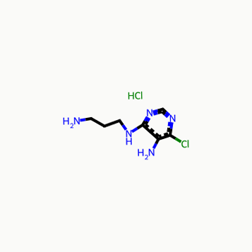 Cl.NCCCNc1ncnc(Cl)c1N